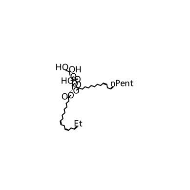 CC/C=C\C/C=C\C/C=C\CCCCCCCC(=O)OC[C@H](COP(=O)(O)OC[C@@H](O)CO)OC(=O)CCCCCCC/C=C\C/C=C\CCCCC